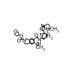 COc1cc2c(cc1C(=O)Nc1cccc(-c3nnc4n3C(C)(C)CC4)n1)CN(C(=O)OC1CCOC1)CC2